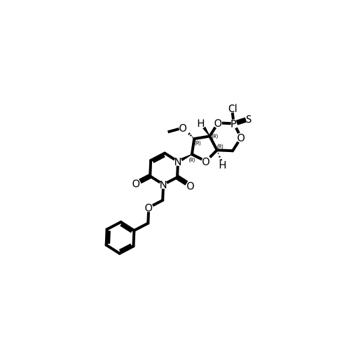 CO[C@@H]1[C@@H]2OP(=S)(Cl)OC[C@H]2O[C@H]1n1ccc(=O)n(COCc2ccccc2)c1=O